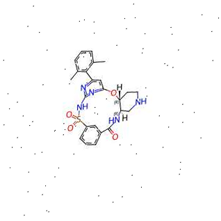 Cc1cccc(C)c1-c1cc2nc(n1)NS(=O)(=O)c1cccc(c1)C(=O)N[C@@H]1CNCC[C@H]1O2